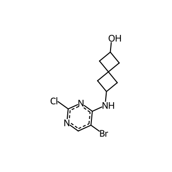 OC1CC2(C1)CC(Nc1nc(Cl)ncc1Br)C2